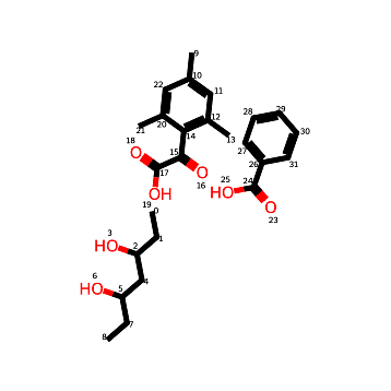 CCC(O)CC(O)CC.Cc1cc(C)c(C(=O)C(=O)O)c(C)c1.O=C(O)c1ccccc1